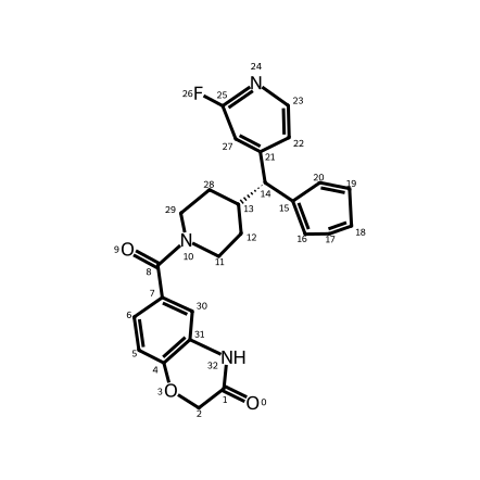 O=C1COc2ccc(C(=O)N3CCC([C@@H](c4ccccc4)c4ccnc(F)c4)CC3)cc2N1